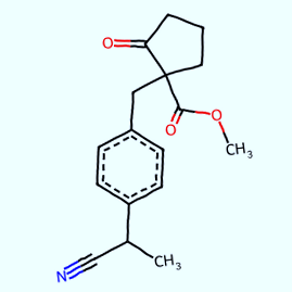 COC(=O)C1(Cc2ccc(C(C)C#N)cc2)CCCC1=O